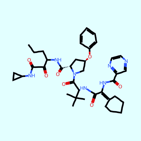 CCCC(NC(=O)[C@@H]1C[C@@H](Oc2ccccc2)CN1C(=O)[C@@H](NC(=O)C(NC(=O)c1cnccn1)=C1CCCCC1)C(C)(C)C)C(=O)C(=O)NC1CC1